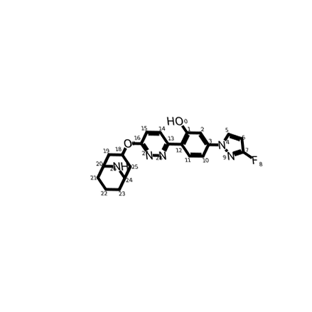 Oc1cc(-n2ccc(F)n2)ccc1-c1ccc(OC2CC3CCCC(C2)N3)nn1